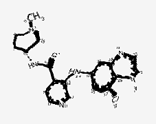 CN1CC[C@@H](NC(=O)c2ccncc2Nc2cc(Cl)c3nccnc3c2)C1